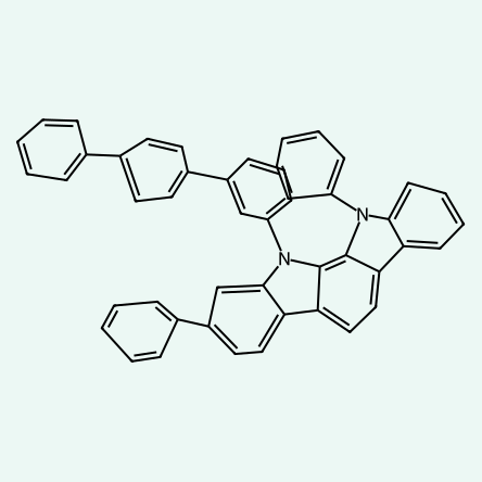 c1ccc(-c2ccc(-c3cccc(-n4c5cc(-c6ccccc6)ccc5c5ccc6c7ccccc7n(-c7ccccc7)c6c54)c3)cc2)cc1